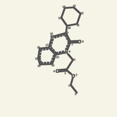 CCOC(=O)Cn1c(=O)c(C2CCCCC2)nc2ccccc21